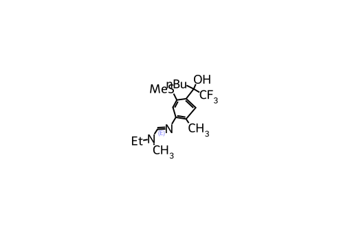 CCCCC(O)(c1cc(C)c(/N=C/N(C)CC)cc1SC)C(F)(F)F